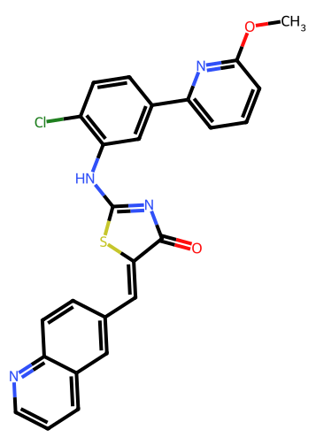 COc1cccc(-c2ccc(Cl)c(NC3=NC(=O)/C(=C/c4ccc5ncccc5c4)S3)c2)n1